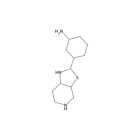 NC1CCCC(C2NC3CCNCC3S2)C1